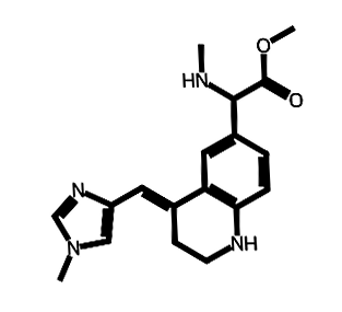 CNC(C(=O)OC)c1ccc2c(c1)/C(=C/c1cn(C)cn1)CCN2